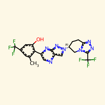 Cc1cc(C(F)(F)F)cc(O)c1-c1cnc2cn([C@@H]3CCc4nnc(C(F)(F)F)n4C3)nc2n1